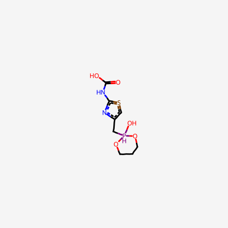 O=C(O)Nc1nc(C[PH]2(O)OCCCO2)cs1